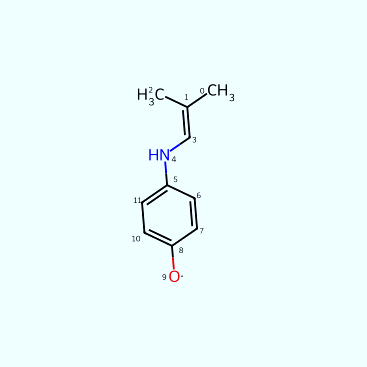 CC(C)=CNc1ccc([O])cc1